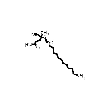 CCCCCCCCCCCC[SH]=CSC(C)(C#N)CCC(=O)O